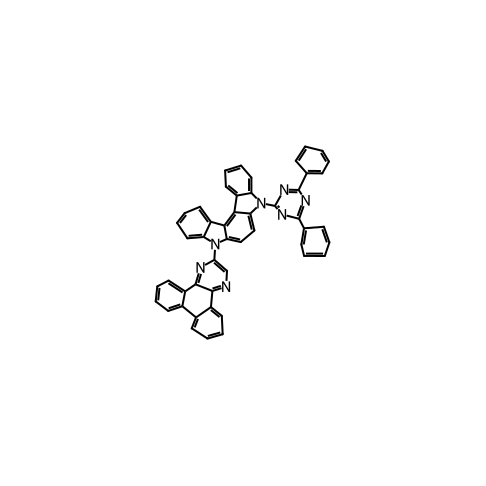 c1ccc(-c2nc(-c3ccccc3)nc(-n3c4ccccc4c4c5c6ccccc6n(-c6cnc7c8ccccc8c8ccccc8c7n6)c5ccc43)n2)cc1